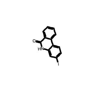 O=c1[nH]c2cc(I)ccc2c2ccccc12